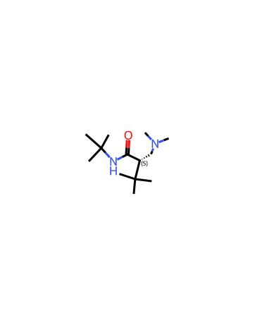 CN(C)C[C@@H](C(=O)NC(C)(C)C)C(C)(C)C